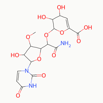 COC1C(O)C(n2ccc(=O)[nH]c2=O)OC1C(OC1OC(C(=O)O)=CC(O)C1O)C(N)=O